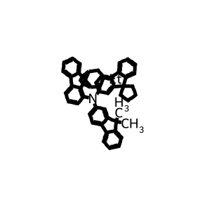 CCC1CC2CCCC(C1)C21c2ccccc2-c2cccc(N(c3ccc4c(c3)C(C)(C)c3ccccc3-4)c3ccc4c(c3)C3(CCCC3)c3ccccc3-4)c21